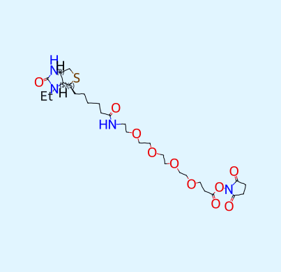 CCN1C(=O)N[C@H]2CS[C@@H](CCCCCC(=O)NCCOCCOCCOCCOCCC(=O)ON3C(=O)CCC3=O)[C@H]21